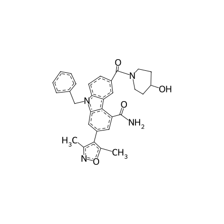 Cc1noc(C)c1-c1cc(C(N)=O)c2c3cc(C(=O)N4CCC(O)CC4)ccc3n(Cc3ccccc3)c2c1